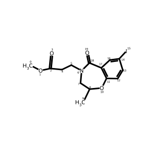 COC(=O)CCN1CC(C)Oc2ccc(I)cc2C1=O